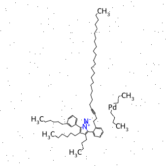 CCCCCCCCCCCCCCCCCCCCCCC#CCCc1ccccc1C1=C(CCCC)C(CCCCCC)=C(c2cccc(CCCCCC)c2)[N+]1=[N-].CCC[CH2][Pd][CH2]CCC